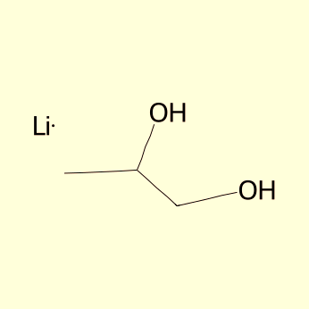 CC(O)CO.[Li]